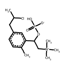 Cc1ccc(CC(C)Cl)cc1C(C[N+](C)(C)C)OP(=O)([O-])O